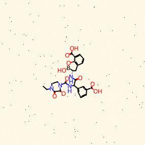 CCN1CCN(C(=O)NC(C(=O)N[C@H]2Cc3cccc(C(=O)O)c3OB2O)c2cccc(C(=O)O)c2)C(=O)C1=O